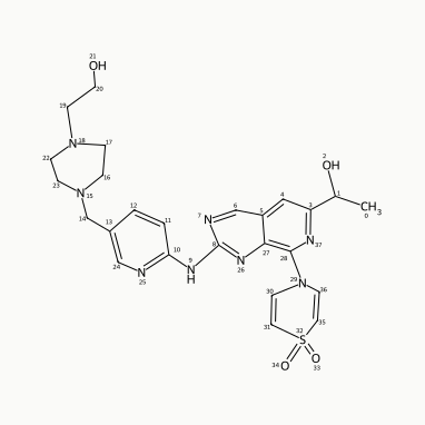 CC(O)c1cc2cnc(Nc3ccc(CN4CCN(CCO)CC4)cn3)nc2c(N2C=CS(=O)(=O)C=C2)n1